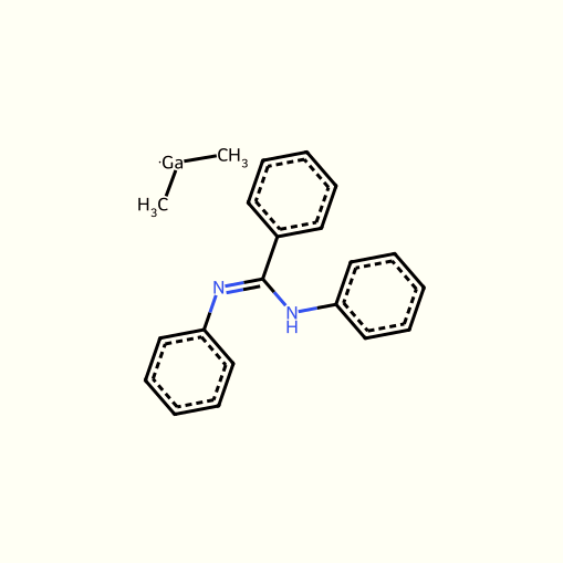 [CH3][Ga][CH3].c1ccc(N=C(Nc2ccccc2)c2ccccc2)cc1